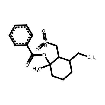 CCC1CCCC(C)(OC(=O)c2ccccc2)C1C[SH](=O)=O